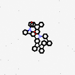 c1ccc(-c2cccc(N(c3ccc4c5ccccc5c5ccccc5c4c3)c3cc4c(cc3-c3ccc5c(c3)c3ccccc3n5-c3ccccc3)-c3ccccc3C43c4ccccc4-c4ccccc43)c2)cc1